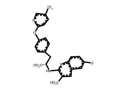 O=C(O)c1cc2cc(Cl)ccc2nc1N[C@@H](Cc1ccc(Oc2ccc(C(F)(F)F)cn2)cc1)C(=O)O